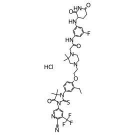 CCc1cc(N2C(=S)N(c3cnc(C#N)c(C(F)(F)F)c3)C(=O)C2(C)C)ccc1OCCN1CCN(CC(=O)Nc2cc(F)cc(NC3CCC(=O)NC3=O)c2)C(C)(C)C1.Cl